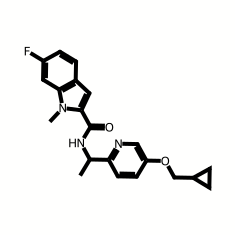 CC(NC(=O)c1cc2ccc(F)cc2n1C)c1ccc(OCC2CC2)cn1